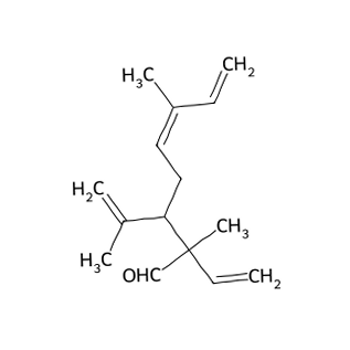 C=CC(C)=CCC(C(=C)C)C(C)(C=C)C=O